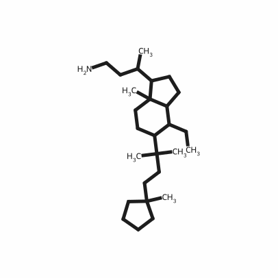 CCC1C(C(C)(C)CCC2(C)CCCC2)CCC2(C)C(C(C)CCN)CCC12